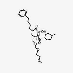 COCCOCOC[C@H](C[C@H](CCCCc1ccccc1)C(=O)NO)NC(=O)[C@H]1CC[C@H](C)CC1